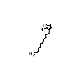 CCCCCCCCCCc1cc[pH]c1[P]